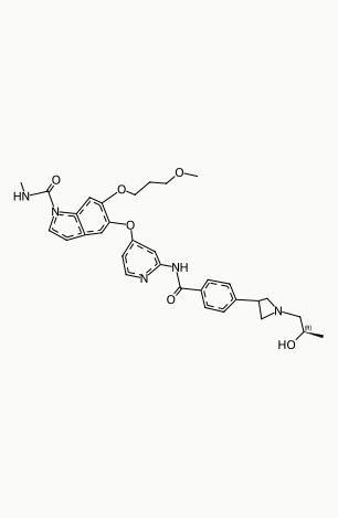 CNC(=O)n1ccc2cc(Oc3ccnc(NC(=O)c4ccc(C5CN(C[C@@H](C)O)C5)cc4)c3)c(OCCCOC)cc21